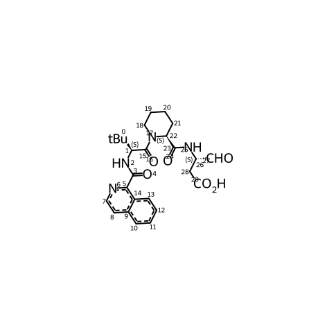 CC(C)(C)[C@H](NC(=O)c1nccc2ccccc12)C(=O)N1CCCC[C@H]1C(=O)N[C@H](C=O)CC(=O)O